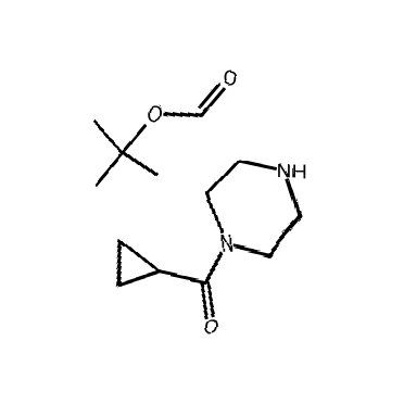 CC(C)(C)OC=O.O=C(C1CC1)N1CCNCC1